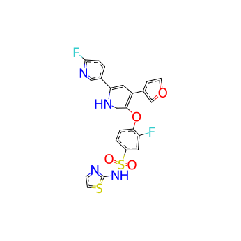 O=S(=O)(Nc1nccs1)c1ccc(OC2=C(c3ccoc3)C=C(c3ccc(F)nc3)NC2)c(F)c1